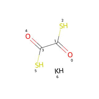 O=C(S)C(=O)S.[KH]